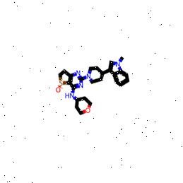 Cn1cc(C2CCN(c3nc4c(c(NC5CCOCC5)n3)[S+]([O-])CC4)CC2)c2ccccc21